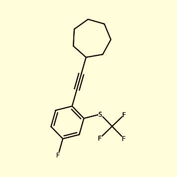 Fc1ccc(C#CC2CCCCCC2)c(SC(F)(F)F)c1